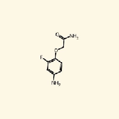 NC(=O)COc1ccc(N)cc1F